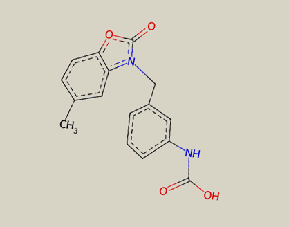 Cc1ccc2oc(=O)n(Cc3cccc(NC(=O)O)c3)c2c1